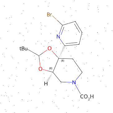 CC(C)(C)C1O[C@@H]2CN(C(=O)O)CC[C@]2(c2cccc(Br)n2)O1